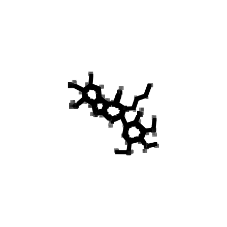 CCCCn1c(-c2cc(OC)c(OC)c(OC)c2Br)nc2sc3c(O)c(Br)c(C)cc3c2c1=O